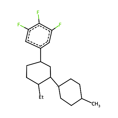 CCC1CCC(c2cc(F)c(F)c(F)c2)CC1[C]1CCC(C)CC1